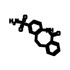 NS(=O)(=O)c1ccc2c(c1)CCc1ccccc1C(=O)N2